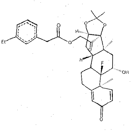 CCc1cccc(CC(=O)OCC(=O)[C@@]23OC(C)(C)O[C@@H]2C[C@H]2C4CCC5=CC(=O)C=C[C@]5(C)[C@@]4(F)[C@@H](O)C[C@@]23C)c1